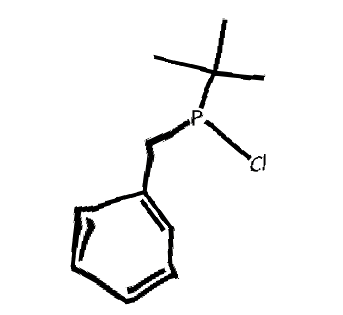 CC(C)(C)P(Cl)Cc1ccccc1